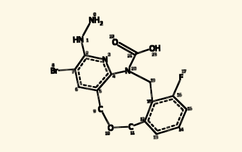 NNc1nc2c(cc1Br)COCc1cccc(F)c1CN2C(=O)O